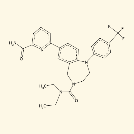 CCN(CC)C(=O)N1CCN(c2ccc(C(F)(F)F)cc2)c2ccc(-c3cccc(C(N)=O)n3)cc2C1